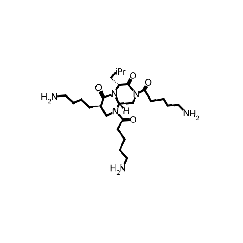 CC(C)C[C@@H]1C(=O)N(C(=O)CCCCN)C[C@@H]2N(C(=O)CCCCN)C[C@@H](CCCCN)C(=O)N12